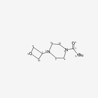 CC(C)(C)C(=O)N1CCN(C2COC2)CC1